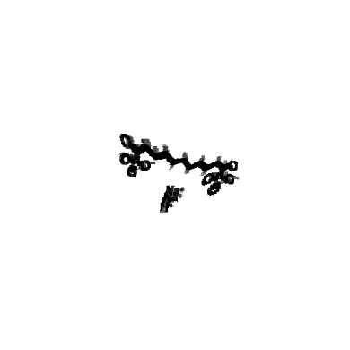 O=C(CCCCCCCCCC(=O)P(=O)([O-])[O-])P(=O)([O-])[O-].[H+].[H+].[Na+].[Na+]